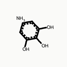 N.Oc1cccc(O)c1O